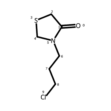 O=C1CSCN1CCCCl